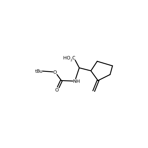 C=C1CCCC1C(NC(=O)OC(C)(C)C)C(=O)O